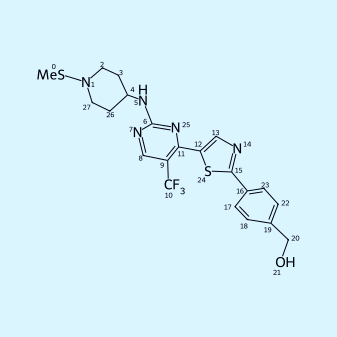 CSN1CCC(Nc2ncc(C(F)(F)F)c(-c3cnc(-c4ccc(CO)cc4)s3)n2)CC1